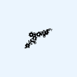 Cc1ccc(-c2nc(C)c(C(=O)N3CC[C@@H](C(=O)N4CCC(O)(Cn5cnc6c(ccn6CC(C)C)c5=O)CC4)[C@H](c4ccccc4)C3)s2)cn1